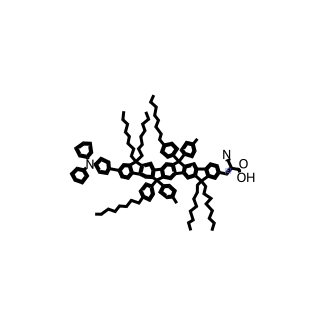 CCCCCCCCc1ccc(C2(c3ccc(C)cc3)c3cc4c(cc3-c3cc5c(cc32)-c2cc3c(cc2C5(c2ccc(C)cc2)c2ccc(CCCCCCCC)cc2)-c2ccc(-c5ccc(N(c6ccccc6)c6ccccc6)cc5)cc2C3(CCCCCCCC)CCCCCCCC)C(CCCCCCCC)(CCCCCCCC)c2cc(/C=C(\C#N)C(=O)O)ccc2-4)cc1